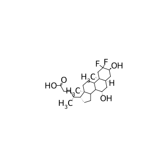 C[C@H](CCC(=O)O)[C@H]1CCC2C3C(CC[C@@]21C)[C@@]1(C)CC(F)(F)[C@@H](O)C[C@H]1C[C@@H]3O